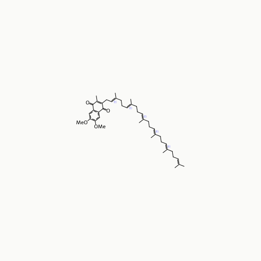 COc1cc2c(cc1OC)C(=O)C(C/C=C(\C)CC/C=C(\C)CC/C=C(\C)CC/C=C(\C)CC/C=C(\C)CCC=C(C)C)=C(C)C2=O